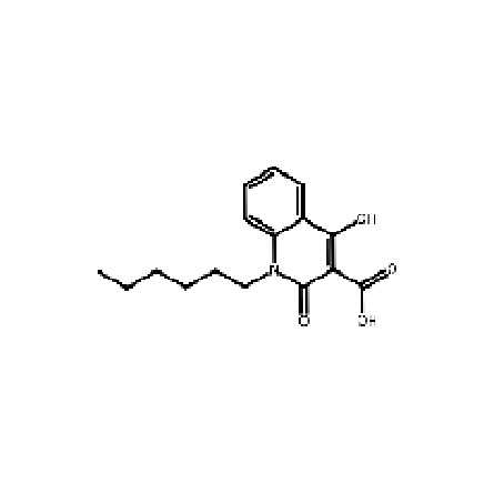 CCCCCCn1c(=O)c(C(=O)O)c(O)c2ccccc21